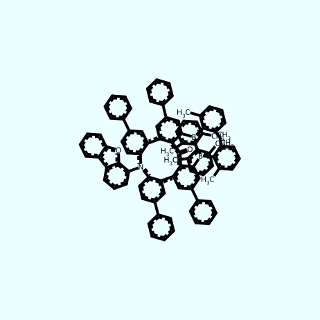 Cc1cccc(C)c1B(c1c(C)cccc1C)c1cc(-c2ccccc2)cc2c1c(=O)c1c(B(c3c(C)cccc3C)c3c(C)cccc3C)cc(-c3ccccc3)cc1c1cc(-c3ccccc3)ccc1n(-c1cccc3c1oc1ccccc13)c1ccc(-c3ccccc3)cc21